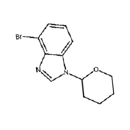 Brc1cccc2c1ncn2C1CCCCO1